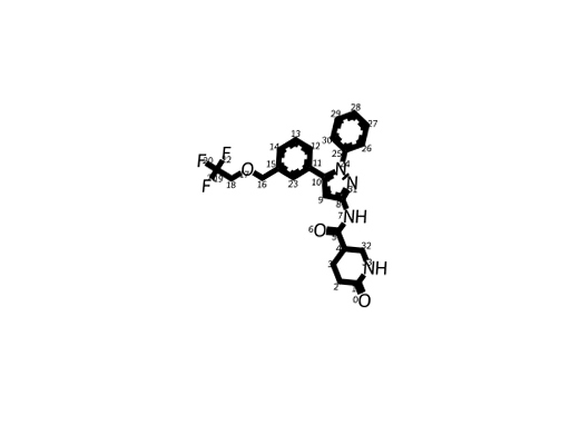 O=C1CCC(C(=O)Nc2cc(-c3cccc(COCC(F)(F)F)c3)n(-c3ccccc3)n2)CN1